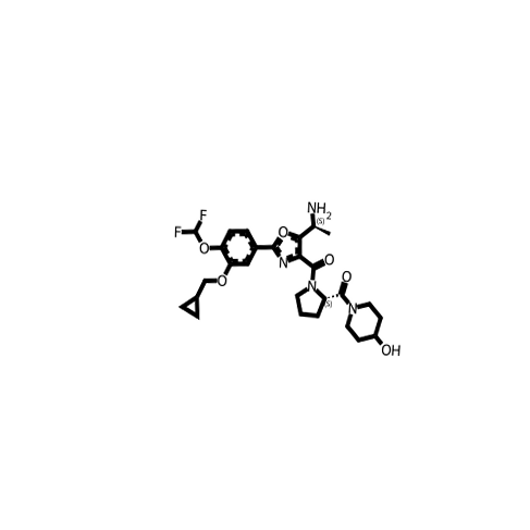 C[C@H](N)c1oc(-c2ccc(OC(F)F)c(OCC3CC3)c2)nc1C(=O)N1CCC[C@H]1C(=O)N1CCC(O)CC1